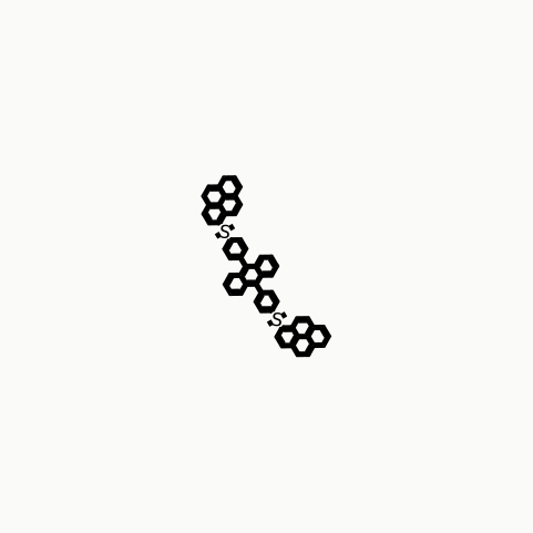 CS(C)(c1ccc(-c2c3ccccc3c(-c3ccc(S(C)(C)c4ccc5c6c7c(ccc46)C=CCC7=CC5)cc3)c3ccccc23)cc1)c1ccc2c3c4c(ccc13)C=CCC4=CC2